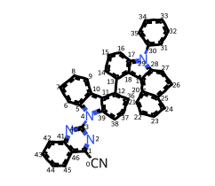 N#Cc1nc(-n2c3ccccc3c3c(-c4cccc5c4c4c6ccccc6ccc4n5-c4ccccc4)cccc32)nc2ccccc12